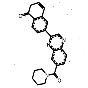 O=C1CC=Cc2cc(-c3cnc4ccc(C(=O)N5CCCCC5)cc4n3)ccc21